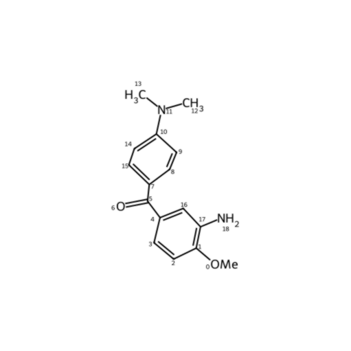 COc1ccc(C(=O)c2ccc(N(C)C)cc2)cc1N